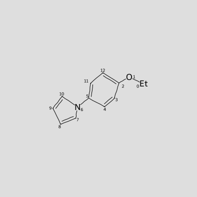 CCOc1ccc(-n2cccc2)cc1